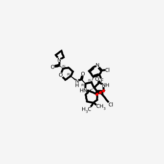 CC1(C)CCC2(CC1)N[C@@H](C(=O)N[C@@H]1CC[C@@H](C(=O)N3CCC3)OC1)[C@H](c1ccnc(Cl)c1F)[C@]21C(=O)Nc2cc(Cl)ccc21